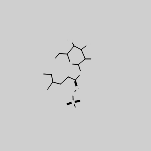 CCC(C)CC/C(=N\OS(=O)(=O)O)SC1OC(CO)C(O)C(O)C1O